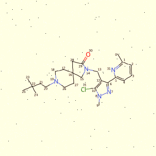 Cc1cccc(-c2nn(C)c(Cl)c2CN2CC3(CCN(CCC(C)(C)C)CC3)CC2=O)n1